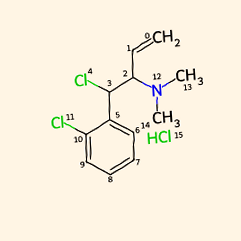 C=CC(C(Cl)c1ccccc1Cl)N(C)C.Cl